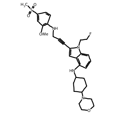 COc1cc(S(C)(=O)=O)ccc1NCC#Cc1cc2c(NC3CCC(N4CCOCC4)CC3)cccc2n1CCF